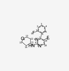 Fc1c[c]ccc1-c1nc(NC2CCOCC2)ncc1F